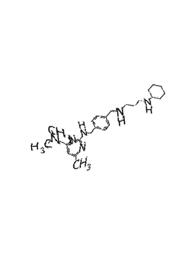 Cc1cc(N(C)C)nc(NCc2ccc(CNCCCNC3CCCCC3)cc2)n1